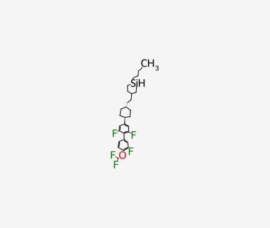 CCCCC[SiH]1CCC(CC[C@H]2CC[C@H](c3cc(F)c(-c4ccc(OC(F)F)c(F)c4)c(F)c3)CC2)CC1